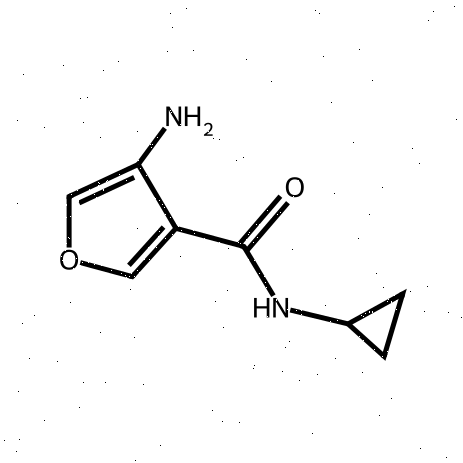 Nc1cocc1C(=O)NC1CC1